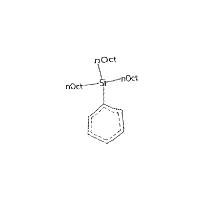 CCCCCCCC[Si](CCCCCCCC)(CCCCCCCC)c1ccccc1